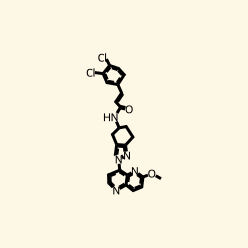 COc1ccc2nccc(-n3cc4c(n3)CCC(NC(=O)/C=C/c3ccc(Cl)c(Cl)c3)C4)c2n1